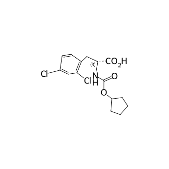 O=C(N[C@H](Cc1ccc(Cl)cc1Cl)C(=O)O)OC1CCCC1